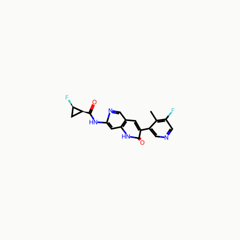 Cc1c(F)cncc1-c1cc2cnc(NC(=O)[C@H]3C[C@H]3F)cc2[nH]c1=O